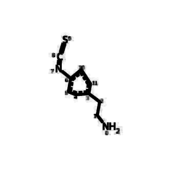 NCCc1ccc(N=C=S)cc1